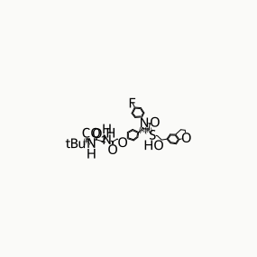 CC(C)(C)[C@@H](NC(=O)CNC(=O)COc1ccc([C@@H]2[C@@H](SCC(O)c3ccc4c(c3)CCO4)C(=O)N2c2ccc(F)cc2)cc1)C(=O)O